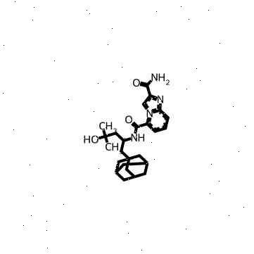 CC(C)(O)CC(CC12CC3CC(CC(C3)C1)C2)NC(=O)c1cccc2nc(C(N)=O)cn12